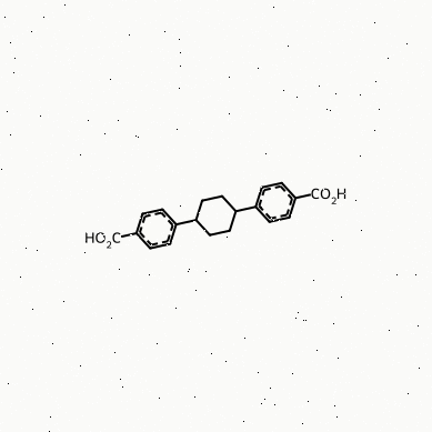 O=C(O)c1ccc(C2CCC(c3ccc(C(=O)O)cc3)CC2)cc1